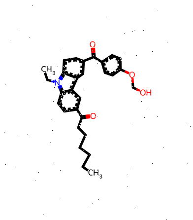 CCCCCCC(=O)c1ccc2c(c1)c1cc(C(=O)c3ccc(OCO)cc3)ccc1n2CC